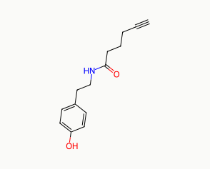 C#CCCCC(=O)NCCc1ccc(O)cc1